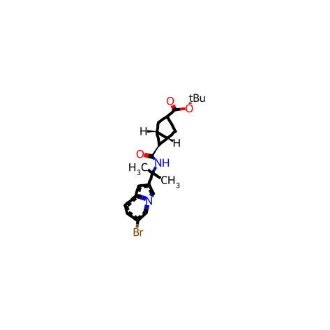 CC(C)(C)OC(=O)C1C[C@@H]2[C@H](C1)[C@H]2C(=O)NC(C)(C)c1cc2ccc(Br)cn2c1